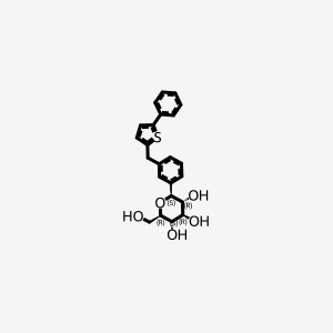 OC[C@H]1O[C@@H](c2cccc(Cc3ccc(-c4ccccc4)s3)c2)[C@H](O)[C@@H](O)[C@@H]1O